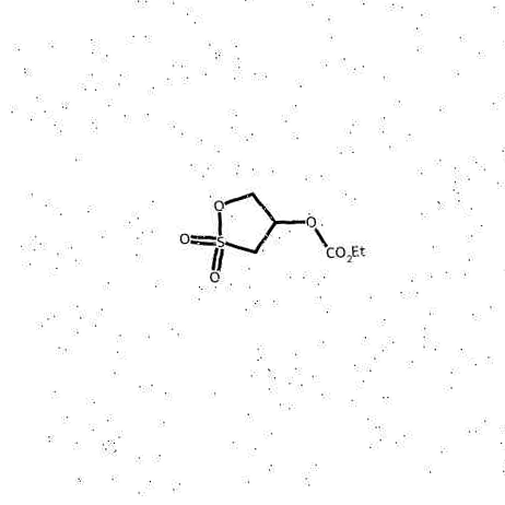 CCOC(=O)OC1COS(=O)(=O)C1